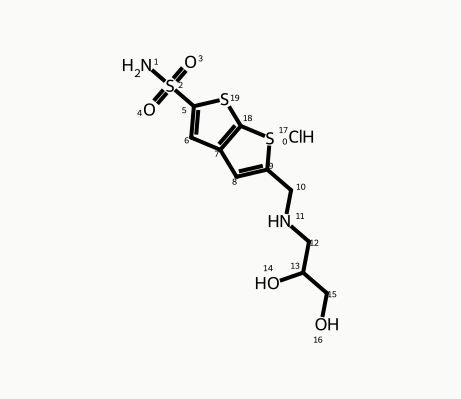 Cl.NS(=O)(=O)c1cc2cc(CNCC(O)CO)sc2s1